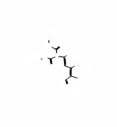 C=C/C(F)=C(N)\C=C(/C)N(C(=O)OC(C)(C)C)C(=O)OC(C)(C)C